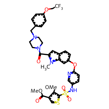 COC(=O)c1csc(S(=O)(=O)Nc2ccc(Oc3ccc4cc(C(=O)N5CCN(Cc6ccc(OCC(F)(F)F)cc6)CC5)n(C)c4c3)nc2)c1OC